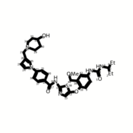 CCC(CC)NC(=O)Nc1ccc(Oc2cnc(NC(=O)c3ccc(-n4ccc(CN5CCC(O)CC5)c4)cc3)s2)c(COC)c1